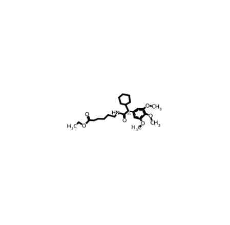 CCOC(=O)CCCCCNC(=O)[C@H](c1cc(OC)c(OC)c(OC)c1)C1CCCCC1